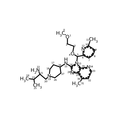 COCCOC(c1cccc(C)n1)n1c(NC2CCN(CC(N)C(C)C)CC2)nc2c(C)ccnc21